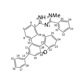 CN/C(=N\C(=N)c1cccc(-c2cc(-c3ccccc3)cc3oc4ccccc4c23)c1)c1ccccc1